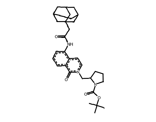 CC(C)(C)OC(=O)N1CCCC1Cn1ccc2c(NC(=O)CC34CC5CC(CC(C5)C3)C4)cccc2c1=O